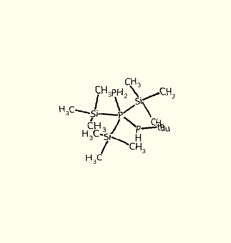 CC(C)(C)PP(P)([Si](C)(C)C)([Si](C)(C)C)[Si](C)(C)C